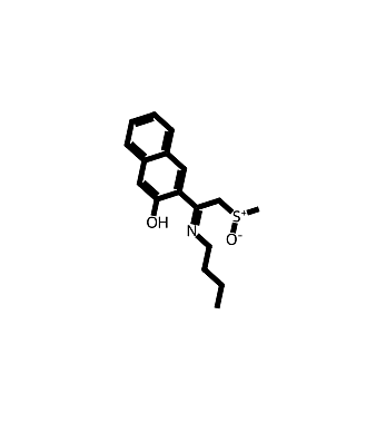 CCCC/N=C(\C[S+](C)[O-])c1cc2ccccc2cc1O